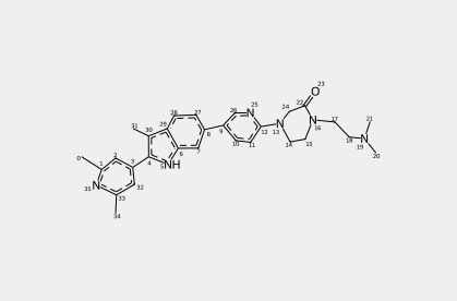 Cc1cc(-c2[nH]c3cc(-c4ccc(N5CCN(CCN(C)C)C(=O)C5)nc4)ccc3c2C)cc(C)n1